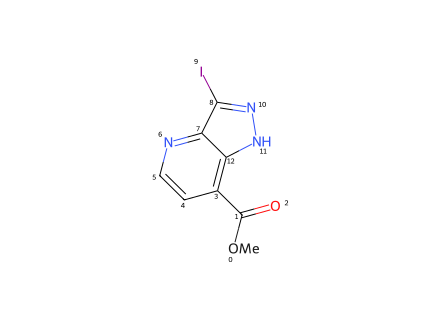 COC(=O)c1ccnc2c(I)n[nH]c12